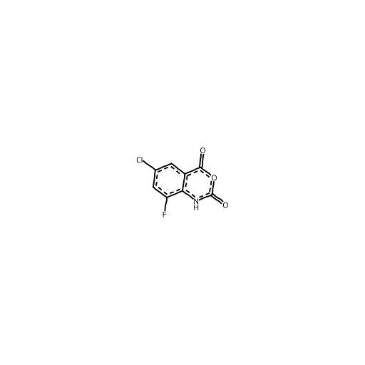 O=c1[nH]c2c(F)cc(Cl)cc2c(=O)o1